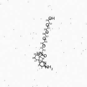 Nc1cccc(CC2(C(=O)NCCOCCOCCOCCOCCO)CCCCC2)n1